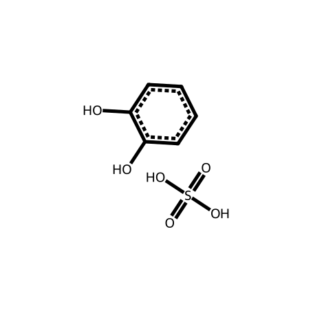 O=S(=O)(O)O.Oc1ccccc1O